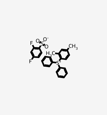 Cc1ccc([S+](c2ccccc2)c2ccccc2)c(C)c1.O=S(=O)([O-])c1ccc(F)cc1F